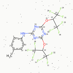 Cc1ccc(Nc2nc(OC(C(F)(F)F)C(F)(F)F)nc(OC(C(F)(F)F)C(F)(F)F)n2)cc1